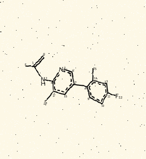 C=C(C)Nc1ncc(-c2ccc(F)cc2C)cc1C